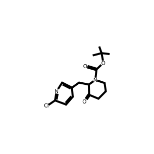 CC(C)(C)OC(=O)N1CCCC(=O)C1Cc1ccc(Cl)nc1